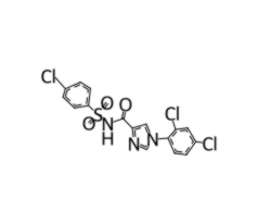 O=C(NS(=O)(=O)c1ccc(Cl)cc1)c1cn(-c2ccc(Cl)cc2Cl)cn1